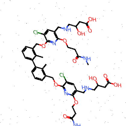 CNC(=O)CCOc1nc(OCc2cccc(-c3cccc(COc4nc(OCCC(=O)NC)c(CNCC(O)CC(=O)O)cc4Cl)c3C)c2C)c(Cl)cc1CNCC(O)CC(=O)O